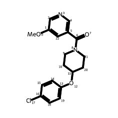 COc1cncc(C(=O)N2CCC(Oc3ccc(Cl)cc3)CC2)c1